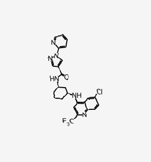 O=C(N[C@@H]1CCC[C@H](Nc2cc(C(F)(F)F)nc3ccc(Cl)cc23)C1)c1cnn(-c2ccccn2)c1